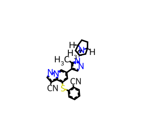 Cc1c(-c2cc(Sc3ccccc3C#N)c3c(C#N)cnn3c2)cnn1[C@H]1C[C@H]2CC[C@@H](C1)N2C